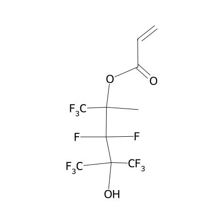 C=CC(=O)OC(C)(C(F)(F)F)C(F)(F)C(O)(C(F)(F)F)C(F)(F)F